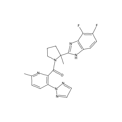 Cc1ccc(-n2nccn2)c(C(=O)N2CCCC2(C)c2nc3c(F)c(F)ccc3[nH]2)n1